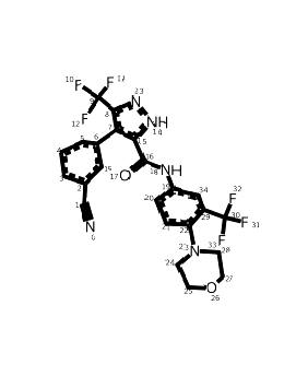 N#Cc1cccc(-c2c(C(F)(F)F)n[nH]c2C(=O)Nc2ccc(N3CCOCC3)c(C(F)(F)F)c2)c1